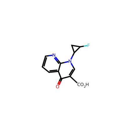 O=C(O)c1cn(C2CC2F)c2ncccc2c1=O